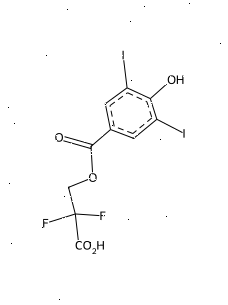 O=C(OCC(F)(F)C(=O)O)c1cc(I)c(O)c(I)c1